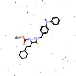 CN(c1ccccc1)c1ccc(CNC(=S)[C@@H](CCC2CCCCC2)NC(=O)OC(C)(C)C)cc1